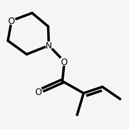 CC=C(C)C(=O)ON1CCOCC1